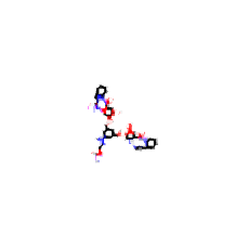 COc1cc2c(cc1OCc1cc(COc3cc4c(cc3OC)C(=O)N3c5ccccc5CC3C(=O)N4)cc(N(C)CCCC(N)=O)c1)N=C[C@@H]1Cc3ccccc3N1C2=O